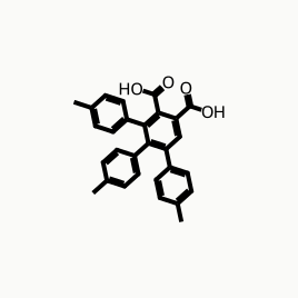 Cc1ccc(-c2cc(C(=O)O)c(C(=O)O)c(-c3ccc(C)cc3)c2-c2ccc(C)cc2)cc1